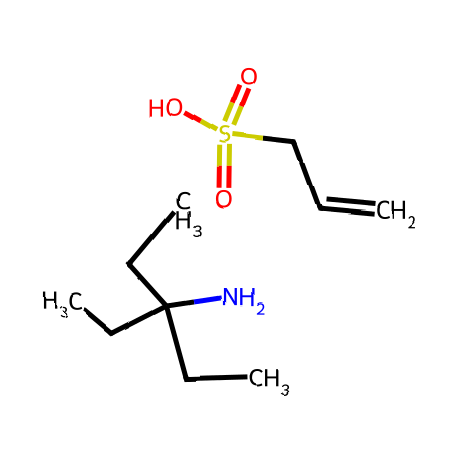 C=CCS(=O)(=O)O.CCC(N)(CC)CC